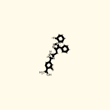 C=C(O)c1ccc(C2=NBC(Cc3nnn(-c4ccccc4F)c3-c3ccccc3)=N2)cc1F